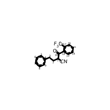 N#CC(CCc1ccccc1)C(=O)c1ccccc1C(F)(F)F